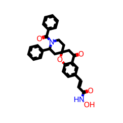 O=C(/C=C/c1ccc2c(c1)C(=O)CC1(CCN(C(=O)c3ccccc3)C(c3ccccc3)C1)O2)NO